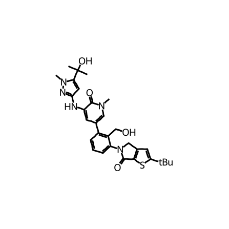 Cn1nc(Nc2cc(-c3cccc(N4Cc5cc(C(C)(C)C)sc5C4=O)c3CO)cn(C)c2=O)cc1C(C)(C)O